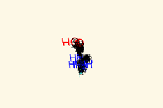 Cc1ccc(CCN[C@H](c2ccccc2)[C@H]2CNc3cc(F)cnc3N2)cc1[C@@H](C)C(=O)O